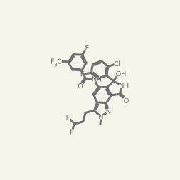 Cn1nc2c3c(c(NC(=O)c4cc(F)cc(C(F)(F)F)c4)cc2c1CCC(F)F)C(O)(c1cc(F)ccc1Cl)NC3=O